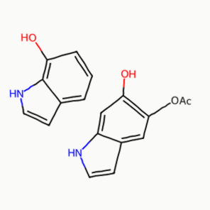 CC(=O)Oc1cc2cc[nH]c2cc1O.Oc1cccc2cc[nH]c12